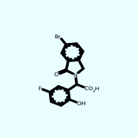 O=C(O)C(c1cc(F)ccc1O)N1Cc2ccc(Br)cc2C1=O